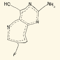 Nc1nc(O)c2ncc(F)cc2n1